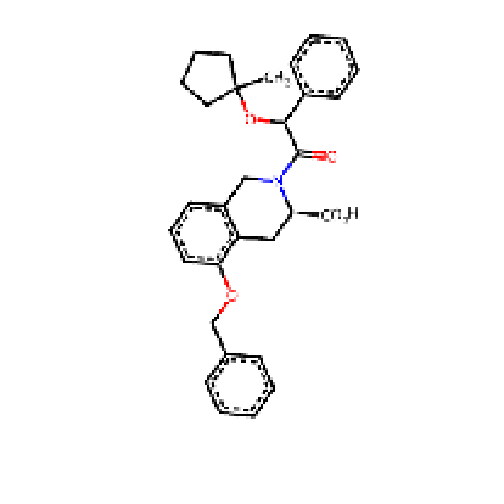 CC1(OC(C(=O)N2Cc3cccc(OCc4ccccc4)c3C[C@@H]2C(=O)O)c2ccccc2)CCCC1